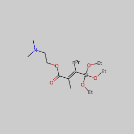 CCCC(=C(C)C(=O)OCCN(C)C)[Si](OCC)(OCC)OCC